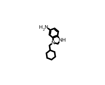 Nc1ccc2c(c1)N(CC1CCCCC1)CN2